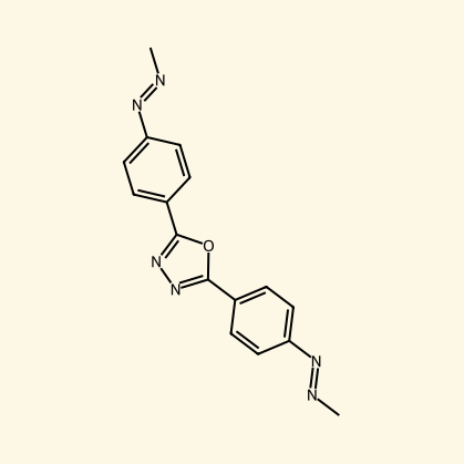 CN=Nc1ccc(-c2nnc(-c3ccc(N=NC)cc3)o2)cc1